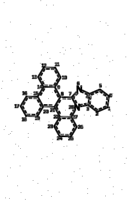 c1ccc2c(c1)nc1c3c4ccccc4c4ccccc4c3c3ccccc3n21